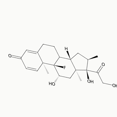 C[C@@H]1C[C@H]2C3CCC4=CC(=O)C=C[C@]4(C)[C@@]3(F)[C@@H](O)C[C@]2(C)[C@@]1(O)C(=O)CO